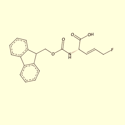 O=C(N[C@@H](C=CCF)C(=O)O)OCC1c2ccccc2-c2ccccc21